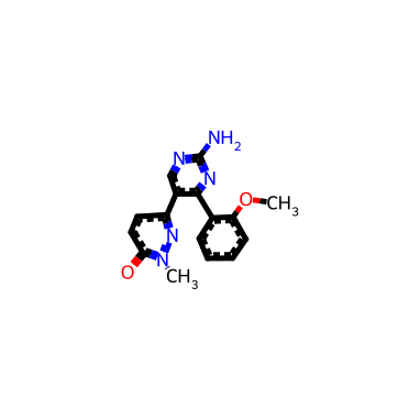 COc1ccccc1-c1nc(N)ncc1-c1ccc(=O)n(C)n1